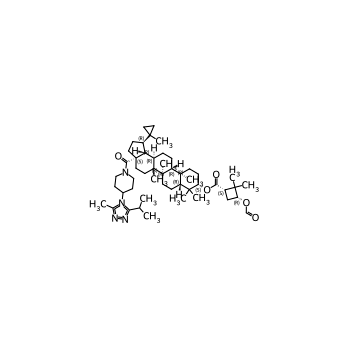 Cc1nnc(C(C)C)n1C1CCN(C(=O)[C@]23CC[C@@H](C4(C)CC4)[C@@H]2[C@H]2CC[C@@H]4[C@@]5(C)CC[C@H](OC(=O)[C@H]6C[C@@H](OC=O)C6(C)C)C(C)(C)[C@@H]5CC[C@@]4(C)[C@]2(C)CC3)CC1